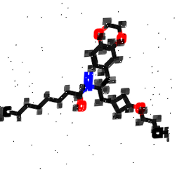 CCCCCCCC(=O)N[C@@H](Cc1ccc2c(c1)OCCO2)CC1CC(OCCC)C1